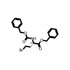 O=C(N[C@@H](CCBr)C(=O)OCc1ccccc1)OCc1ccccc1